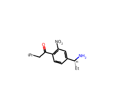 CC[C@@H](N)c1ccc(C(=O)C[C](C)C)c([N+](=O)[O-])c1